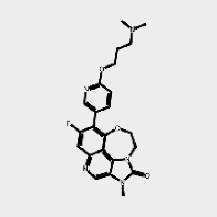 CN(C)CCCOc1ccc(-c2c(F)cc3ncc4c5c3c2OCCn5c(=O)n4C)cn1